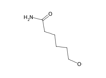 NC(=O)CCCCC[O]